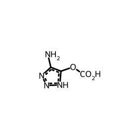 Nc1nn[nH]c1OC(=O)O